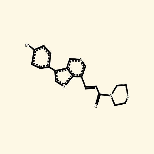 O=C(/C=C/c1cncc2c(-c3ccc(Br)cc3)csc12)N1CCOCC1